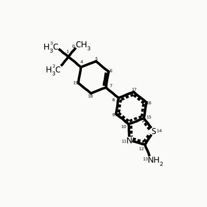 CC(C)(C)C1CC=C(c2[c]c3nc(N)sc3cc2)CC1